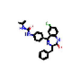 C=C(C)NC(=O)Nc1ccc(C2=NC(Cc3ccccc3)C(=O)Nc3ccc(Cl)cc32)cc1